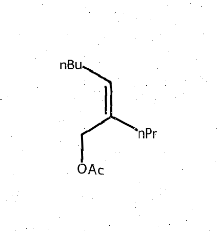 CCCCC=C(CCC)COC(C)=O